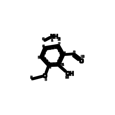 CN.COc1cccc(C=O)c1O